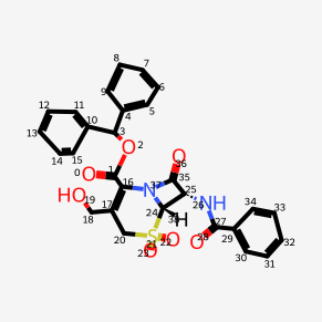 O=C(OC(c1ccccc1)c1ccccc1)C1=C(CO)CS(=O)(=O)[C@H]2[C@@H](NC(=O)c3ccccc3)C(=O)N12